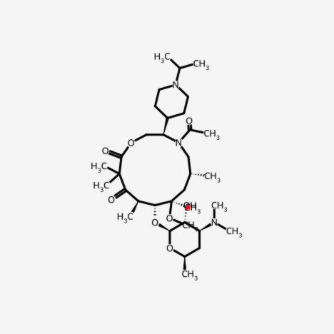 CO[C@]1(C)C[C@@H](C)CN(C(C)=O)[C@H](C2CCN(C(C)C)CC2)COC(=O)C(C)(C)C(=O)[C@H](C)[C@H]1O[C@@H]1O[C@H](C)C[C@H](N(C)C)[C@H]1O